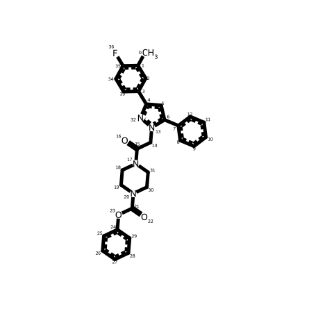 Cc1cc(-c2cc(-c3ccccc3)n(CC(=O)N3CCN(C(=O)Oc4ccccc4)CC3)n2)ccc1F